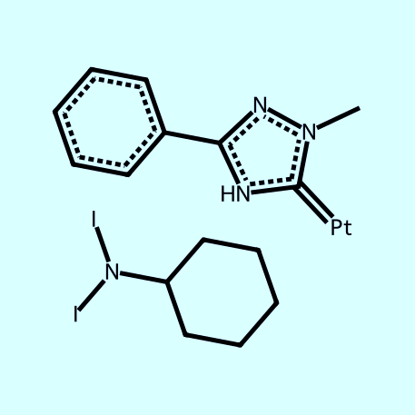 Cn1nc(-c2ccccc2)[nH][c]1=[Pt].IN(I)C1CCCCC1